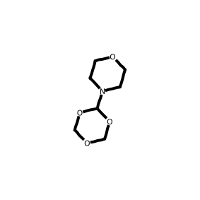 C1CN(C2OCOCO2)CCO1